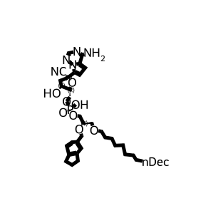 CCCCCCCCCCCCCCCCCCOC[C@H](COP(=O)(O)OC[C@H]1O[C@@](C#N)(c2ccc3c(N)ncnn23)C[C@@H]1O)OCc1ccc2c(c1)CCC2